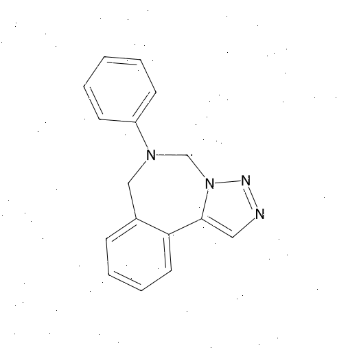 [CH]1N(c2ccccc2)Cc2ccccc2-c2cnnn21